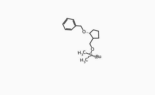 CC(C)(C)[Si](C)(C)OCC1CCC[C@H]1OCc1ccccc1